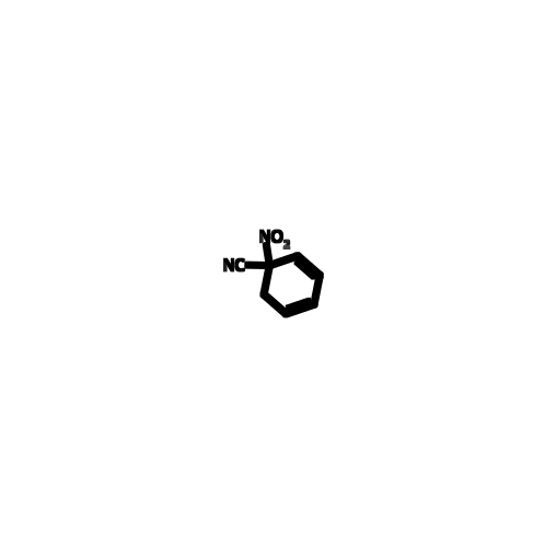 N#CC1([N+](=O)[O-])C=CC=CC1